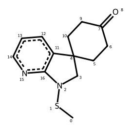 CSN1CC2(CCC(=O)CC2)c2cccnc21